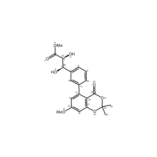 COC(=O)[C@@H](O)[C@H](O)c1cccc(-c2cc(OC)cc3c2C(=O)OC(C)(C)O3)c1